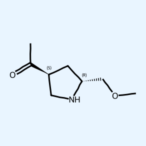 COC[C@H]1C[C@H](C(C)=O)CN1